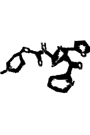 CN1CCC(OC(=O)Nc2nc(-c3ccco3)c(C(=O)c3ccccn3)s2)CC1